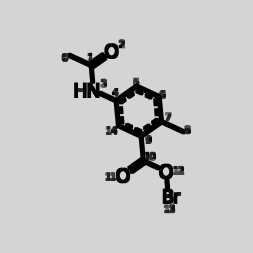 CC(=O)Nc1ccc(C)c(C(=O)OBr)c1